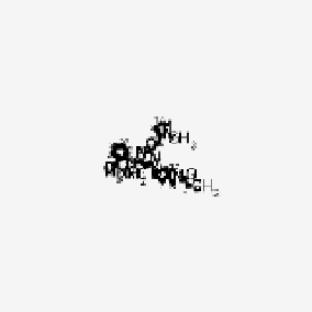 C=CC(=O)N1CC2(CCN(c3nc(OCC4CCCN4C)nc(N(C)c4ccccc4C(N)=O)c3C#N)C2)C1